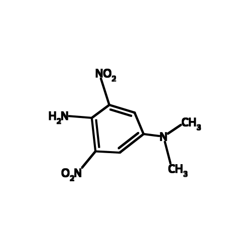 CN(C)c1cc([N+](=O)[O-])c(N)c([N+](=O)[O-])c1